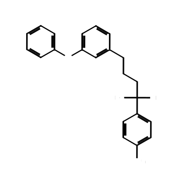 CC(C)(C)c1ccc(C(C)(C)CCCc2cccc(Oc3ccccc3)c2)cc1